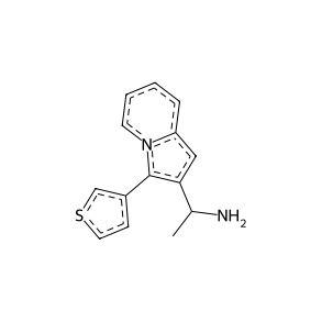 CC(N)c1cc2ccccn2c1-c1ccsc1